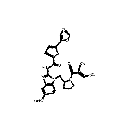 CC(C)(C)C=C(C#N)C(=O)N1CCCC1Cn1c(NC(=O)c2ccc(-c3cnco3)s2)nc2cc(C=O)ccc21